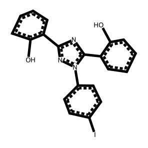 Oc1ccccc1-c1nc(-c2ccccc2O)n(-c2ccc(I)cc2)n1